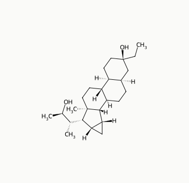 CC[C@@]1(O)CC[C@H]2[C@H](CC[C@@H]3[C@@H]2CC[C@@]2(C)[C@H]3[C@@H]3C[C@@H]3[C@@H]2[C@H](C)[C@@H](C)O)C1